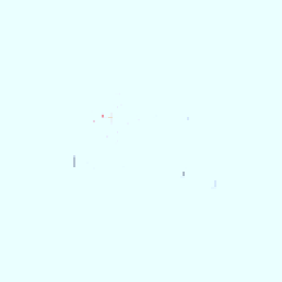 CCCCC(CC)COP(=O)([O-])[O-].[Ca+2]